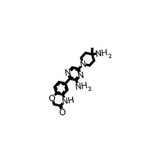 CC1(N)CCN(c2cnc(-c3ccc4c(c3)NC(=O)CO4)c(N)n2)CC1